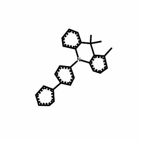 Cc1cccc2c1C(C)(C)c1ccccc1N2c1ccc(-c2ccccc2)cc1